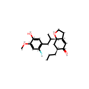 CCC[C@H]1C[C@]2(C(C)Cc3cc(O)c(OC)cc3F)OCCC2=CC1=O